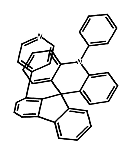 c1ccc(N2c3ccccc3C3(c4ccccc4-c4cccc(-c5ccncc5)c43)c3ccccc32)cc1